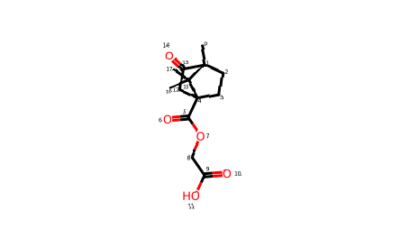 CC12CCC(C(=O)OCC(=O)O)(CC1=O)C2(C)C